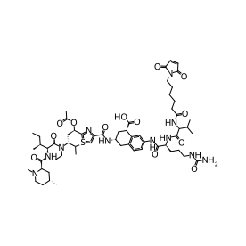 CC[C@H](C)[C@H](NC(=O)[C@H]1C[C@H](C)CCN1C)C(=O)N(CC)[C@H](C[C@@H](OC(C)=O)c1nc(C(=O)N[C@H]2Cc3ccc(NC(=O)[C@H](CCCNC(N)=O)NC(=O)[C@@H](NC(=O)CCCCCN4C(=O)C=CC4=O)C(C)C)cc3[C@H](C(=O)O)C2)cs1)C(C)C